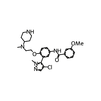 COc1cccc(C(=O)Nc2ccc(OCCN(C)C3CCNCC3)c(-c3c(Cl)cnn3C)c2)c1